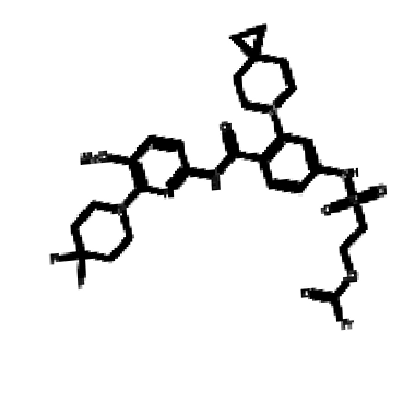 COc1ccc(NC(=O)c2ccc(NS(=O)(=O)CCOC(=O)C(C)C)cc2N2CCC3(CC2)CC3)nc1N1CCC(F)(F)CC1